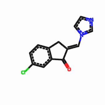 O=C1/C(=C/n2ccnc2)Cc2ccc(Cl)cc21